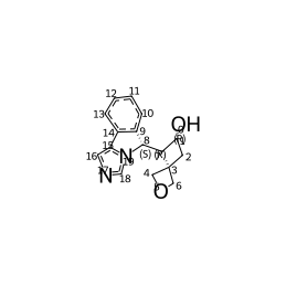 O[C@@H]1CC2(COC2)[C@@H]1[C@H]1c2ccccc2-c2cncn21